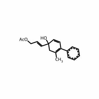 CC(=O)OCC=CC1(O)C=CC(c2ccccc2)=C(C)C1